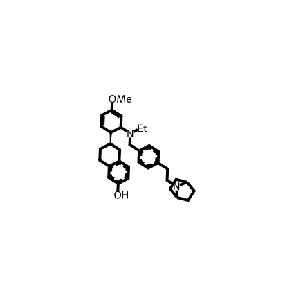 CCN(Cc1ccc(CCN2C3CCC2CC3)cc1)C1C=C(OC)C=CC1[C@@H]1CCc2cc(O)ccc2C1